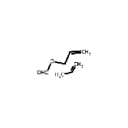 C=CC.C=CCOC=O